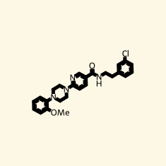 COc1ccccc1N1CCN(c2ccc(C(=O)NCCc3cccc(Cl)c3)cn2)CC1